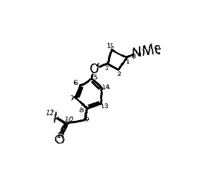 CNC1CC(Oc2ccc(CC(=O)I)cc2)C1